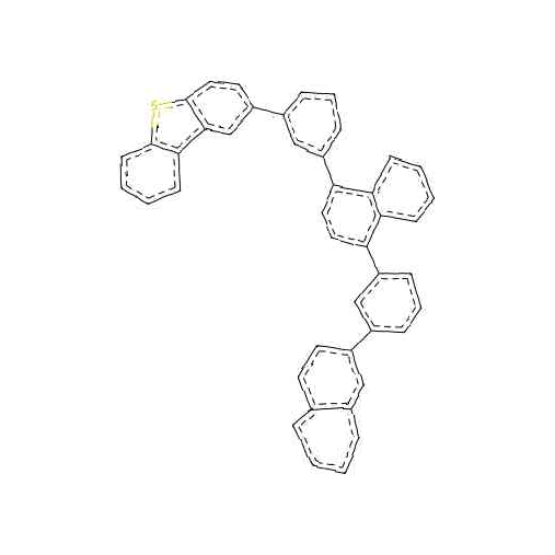 c1cc(-c2ccc3ccccc3c2)cc(-c2ccc(-c3cccc(-c4ccc5sc6ccccc6c5c4)c3)c3ccccc23)c1